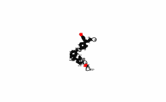 CC#CC(CC=O)c1ccc(OCc2ccc3scc(-c4ccc(OCCOC)nc4C)c3c2)cc1